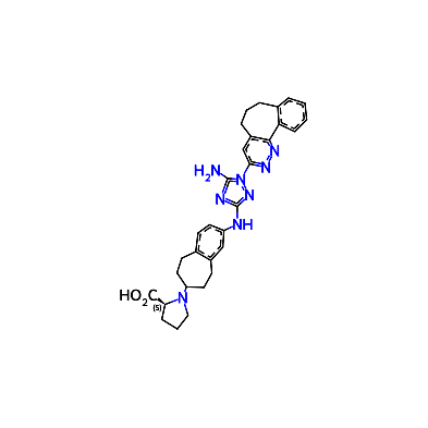 Nc1nc(Nc2ccc3c(c2)CCC(N2CCC[C@H]2C(=O)O)CC3)nn1-c1cc2c(nn1)-c1ccccc1CCC2